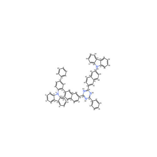 c1ccc(-c2ccc(-n3c4ccccc4c4ccccc43)c(-c3ccc4ccc(-c5nc(-c6ccccc6)nc(-c6ccc7cc(-n8c9ccccc9c9ccccc98)ccc7c6)n5)cc4c3)c2)cc1